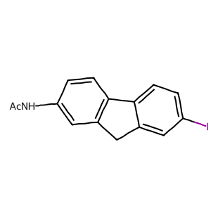 CC(=O)Nc1ccc2c(c1)Cc1cc(I)ccc1-2